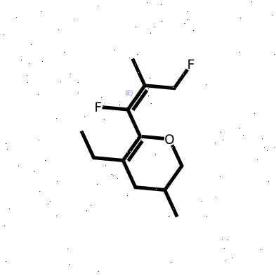 CCC1=C(/C(F)=C(/C)CF)OCC(C)C1